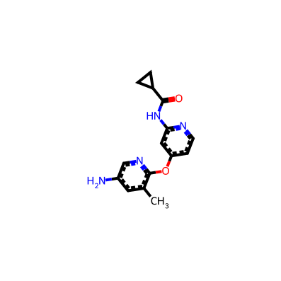 Cc1cc(N)cnc1Oc1ccnc(NC(=O)C2CC2)c1